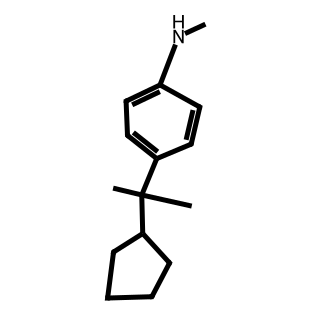 CNc1ccc(C(C)(C)C2CCCC2)cc1